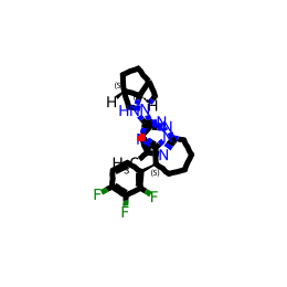 Cc1cc(N2CC3CC[C@@H](C2)[C@@H]3Nc2nc3n(n2)CCCC[C@H]3c2ccc(F)c(F)c2F)ncn1